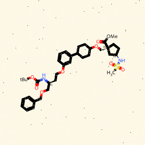 COC(=O)[C@@]1(COC2CCC(c3cccc(OCC[C@@H](COCc4ccccc4)NC(=O)OC(C)(C)C)c3)CC2)CC[C@H](NS(C)(=O)=O)C1